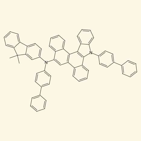 CC1(C)c2ccccc2-c2ccc(N(c3ccc(-c4ccccc4)cc3)c3cc4c5ccccc5c5c(c6ccccc6n5-c5ccc(-c6ccccc6)cc5)c4c4ccccc34)cc21